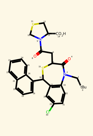 CC(C)(C)CN1C(=O)C(CC(=O)N2CSCC2C(=O)O)SC(c2cccc3ccccc23)c2cc(Cl)ccc21